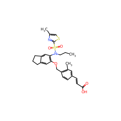 CCCN(c1cc2c(cc1OCc1ccc(/C=C/C(=O)O)cc1C)CCC2)S(=O)(=O)c1nc(C)cs1